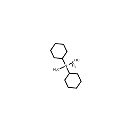 C[N+](C)(C1CCCCC1)C1CCCCC1.[OH-]